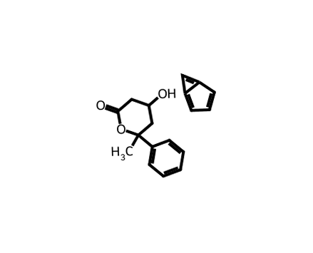 CC1(c2ccccc2)CC(O)CC(=O)O1.c1cc2cc-2c1